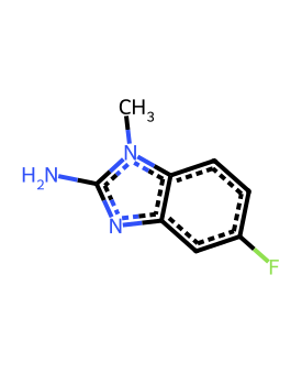 Cn1c(N)nc2cc(F)ccc21